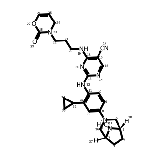 CN1[C@@H]2CC[C@H]1CN(c1ccc(Nc3ncc(C#N)c(NCCCN4CC=COC4=O)n3)c(C3CC3)c1)C2